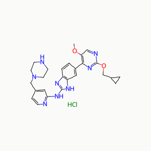 COc1cnc(OCC2CC2)nc1-c1ccc2nc(Nc3cc(CN4CCNCC4)ccn3)[nH]c2c1.Cl